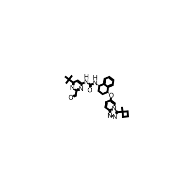 CC(C)(C)c1cc(NC(=O)N[C@H]2CC[C@@H](Oc3ccc4nnc(C5(C)CCC5)n4c3)c3ccccc32)nc(C=O)n1